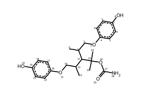 CC(COc1ccc(O)cc1)C(C(C)COc1ccc(O)cc1)C(C)(C)OC(N)=O